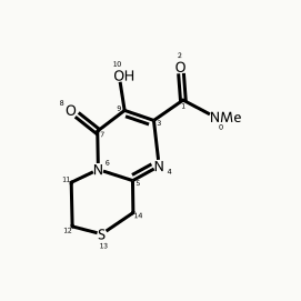 CNC(=O)c1nc2n(c(=O)c1O)CCSC2